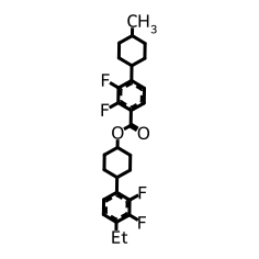 CCc1ccc(C2CCC(OC(=O)c3ccc(C4CCC(C)CC4)c(F)c3F)CC2)c(F)c1F